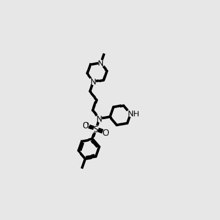 Cc1ccc(S(=O)(=O)N(CCCN2CCN(C)CC2)C2CCNCC2)cc1